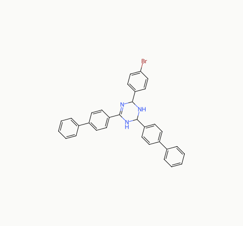 Brc1ccc(C2N=C(c3ccc(-c4ccccc4)cc3)NC(c3ccc(-c4ccccc4)cc3)N2)cc1